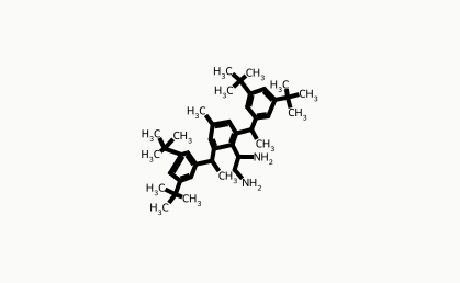 Cc1cc(C(C)c2cc(C(C)(C)C)cc(C(C)(C)C)c2)c(C(N)CN)c(C(C)c2cc(C(C)(C)C)cc(C(C)(C)C)c2)c1